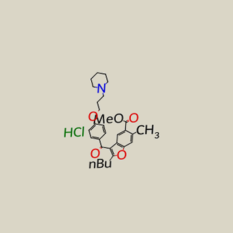 CCCCc1oc2cc(C)c(C(=O)OC)cc2c1C(=O)c1ccc(OCCCN2CCCCC2)cc1.Cl